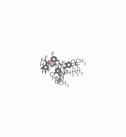 CC(C)[C@@H](C)Oc1ccc2c(=O)n(-c3ccc(Cl)c4c(NS(C)(=O)=O)nn(C)c34)c([C@H](Cc3cc(F)cc(F)c3)NC(=O)Cn3nc(C(F)F)c4c3C(F)(F)[C@H]3C[C@@H]43)nc2c1